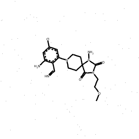 COCCN1C(=O)N(N)C2(CCN(c3cc(Cl)cc(N)c3C=N)CC2)C1=O